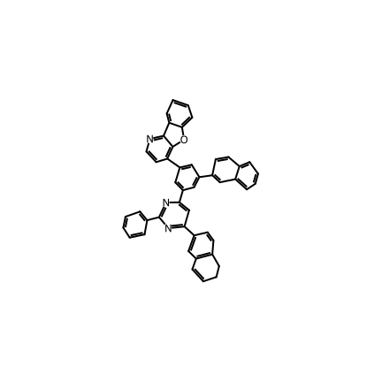 C1=Cc2cc(-c3cc(-c4cc(-c5ccc6ccccc6c5)cc(-c5ccnc6c5oc5ccccc56)c4)nc(-c4ccccc4)n3)ccc2CC1